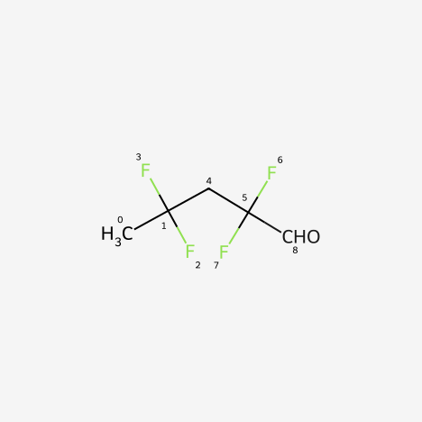 CC(F)(F)CC(F)(F)C=O